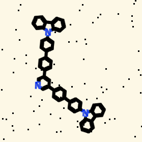 c1ccc2c(c1)c1ccccc1n2-c1ccc(-c2ccc(-c3cncc(-c4ccc(-c5ccc(-n6c7ccccc7c7ccccc76)cc5)cc4)c3)cc2)cc1